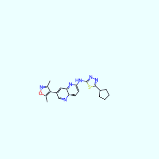 Cc1noc(C)c1-c1cnc2ccc(Nc3nnc(C4CCCC4)s3)nc2c1